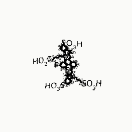 CC1(C)C(/C=C/C2=C(c3c(F)cc(F)cc3F)C(=C/C=C3/N(CCCCS(=O)(=O)O)c4ccc(S(=O)(=O)O)cc4C3(C)C)/CCC2)=[N+](CCCCCC(=O)O)c2ccc(S(=O)(=O)O)cc21